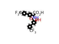 O=C(O)CC(NC(=O)c1cc(-c2cccc(C(F)(F)F)c2)ccc1O)c1ccc(-c2ccc(C(F)(F)F)cc2)cc1